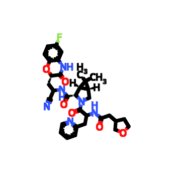 CC1(C)[C@@H]2[C@@H](C(=O)NC(C#N)C[C@@H]3Oc4ccc(F)cc4NC3=O)N(C(=O)C(Cc3ccccn3)NC(=O)CC3CCOC3)C[C@@H]21